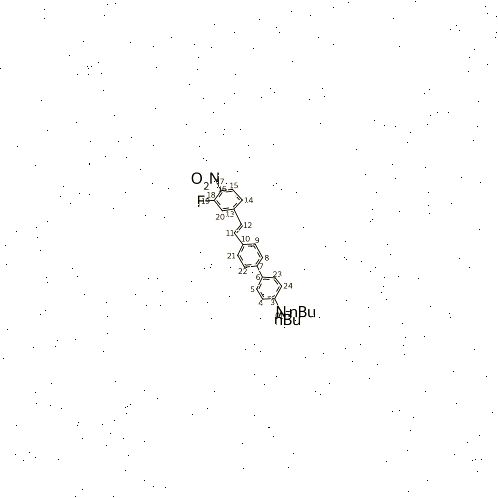 CCCCN(CCCC)c1ccc(-c2ccc(/C=C/c3ccc([N+](=O)[O-])c(F)c3)cc2)cc1